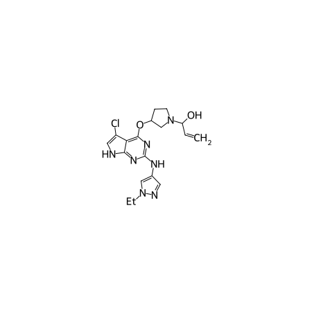 C=CC(O)N1CCC(Oc2nc(Nc3cnn(CC)c3)nc3[nH]cc(Cl)c23)C1